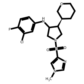 Cn1cnc(S(=O)(=O)N2CC(Nc3ccc(F)c(Cl)c3)C([C@@H]3CCCOC3)C2)c1